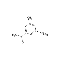 Cc1cc(C#N)cc(C(C)[O])c1